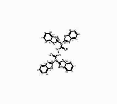 O=C(SSC(=O)N(c1nc2ccccc2s1)c1nc2ccccc2s1)N(c1nc2ccccc2s1)c1nc2ccccc2s1